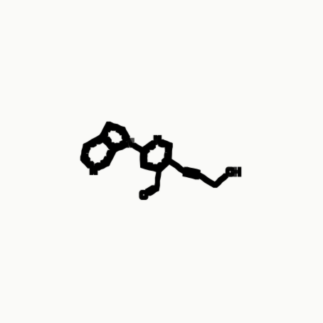 O=Cc1cc(-n2ccc3ccncc32)ncc1C#CCO